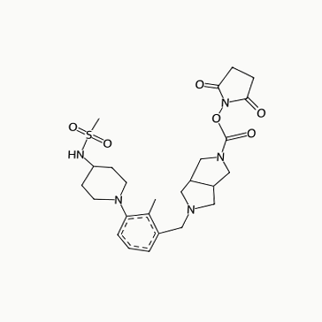 Cc1c(CN2CC3CN(C(=O)ON4C(=O)CCC4=O)CC3C2)cccc1N1CCC(NS(C)(=O)=O)CC1